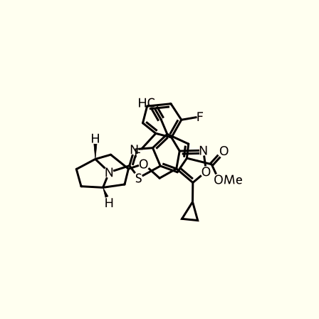 C#Cc1cc(C(=O)OC)cc2sc(N3[C@@H]4CC[C@H]3CC(OCc3c(-c5c(F)cccc5F)noc3C3CC3)C4)nc12